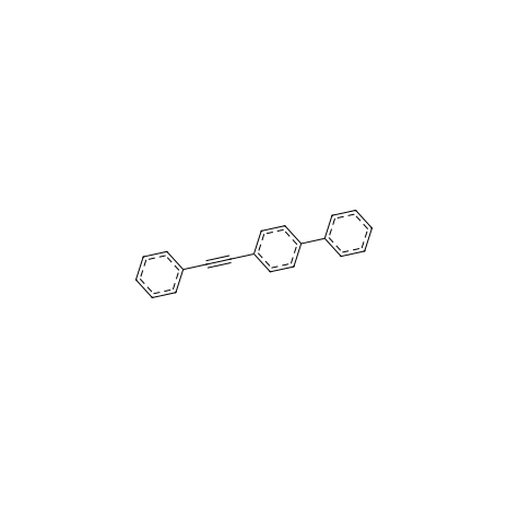 C(#Cc1ccc(-c2ccccc2)cc1)c1ccccc1